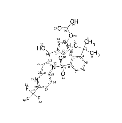 CC(C)(C)c1cccc(S(=O)(=O)n2c(C(O)c3ccc(OC(=O)O)s3)cc3nc(C(F)(F)F)ccc32)c1